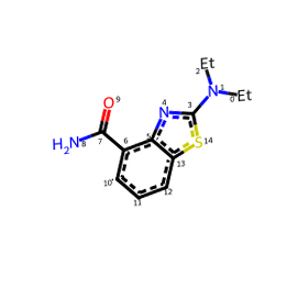 CCN(CC)c1nc2c(C(N)=O)[c]ccc2s1